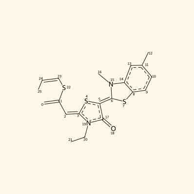 C=C(/C=c1\s/c(=C2/Sc3ccc(C)cc3N2C)c(=O)n1CC)S/C=C\C